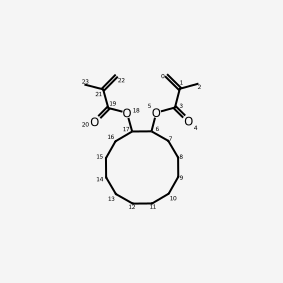 C=C(C)C(=O)OC1CCCCCCCCCCC1OC(=O)C(=C)C